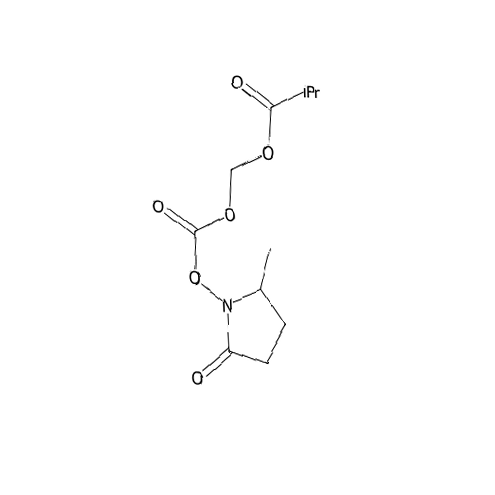 CC(C)C(=O)OCOC(=O)ON1C(=O)CCC1C